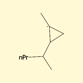 CCCC(C)C1C[C]1C